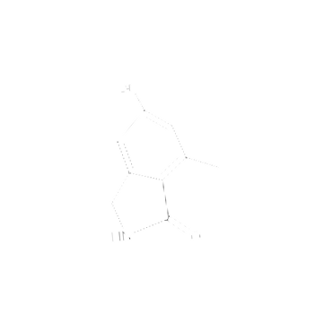 Cc1cc(Br)cc2c1C(=O)NC2